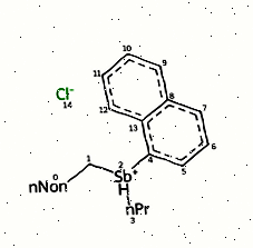 CCCCCCCCC[CH2][SbH+]([CH2]CC)[c]1cccc2ccccc12.[Cl-]